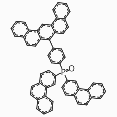 O=P(c1ccc(-c2c3ccc4ccccc4c3cc3c2ccc2ccccc23)cc1)(c1ccc2ccc3ccccc3c2c1)c1ccc2ccc3ccccc3c2c1